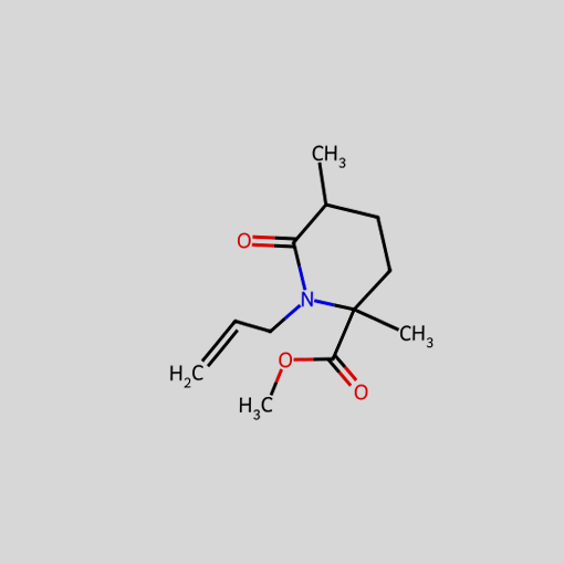 C=CCN1C(=O)C(C)CCC1(C)C(=O)OC